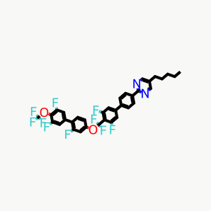 CCCCCc1cnc(-c2ccc(-c3cc(F)c(C(F)(F)Oc4ccc(-c5cc(F)c(OC(F)(F)F)c(F)c5)c(F)c4)c(F)c3)cc2)nc1